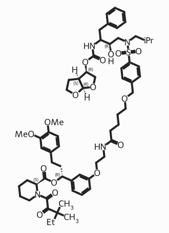 CCC(C)(C)C(=O)C(=O)N1CCCC[C@H]1C(=O)O[C@H](CCc1ccc(OC)c(OC)c1)c1cccc(OCCNC(=O)CCCCOCc2ccc(S(=O)(=O)N(CC(C)C)C[C@@H](O)C(Cc3ccccc3)NC(=O)O[C@H]3CO[C@H]4OCC[C@H]43)cc2)c1